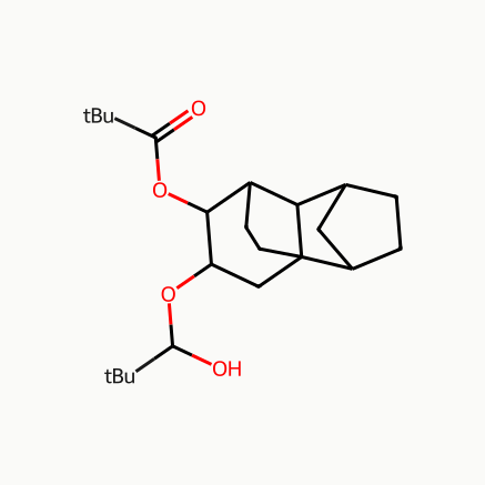 CC(C)(C)C(=O)OC1C(OC(O)C(C)(C)C)CC23CCC1C2C1CCC3C1